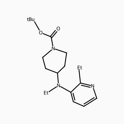 CCc1ncccc1N(CC)C1CCN(C(=O)OC(C)(C)C)CC1